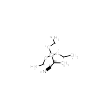 CCO[Si](OCC)(OCC)C(C)C#N